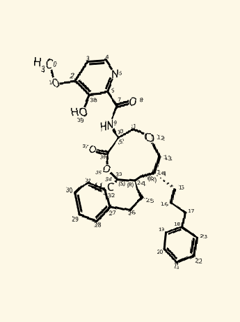 COc1ccnc(C(=O)N[C@H]2COC[C@H](CCCc3ccccc3)[C@@H](CCc3ccccc3)[C@H](C)OC2=O)c1O